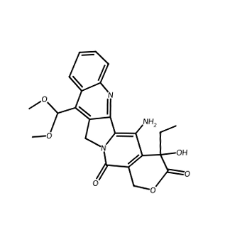 CCC1(O)C(=O)OCc2c1c(N)c1n(c2=O)Cc2c-1nc1ccccc1c2C(OC)OC